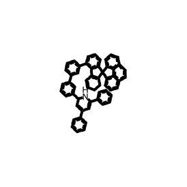 C1=CC2=C(CC1)C1(c3cccc(-c4cccc(-c5cccc(C6C=C(c7ccccc7)C=C(c7ccccc7)N6)c5)c4)c32)c2cccc3ccc4cccc1c4c23